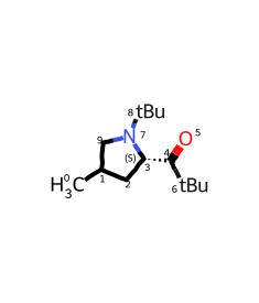 CC1C[C@@H](C(=O)C(C)(C)C)N(C(C)(C)C)C1